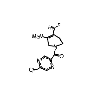 CNC1=C(NF)CCN(C(=O)c2cnc(Cl)cn2)C1